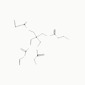 O=C(CS)OCC(COC(=O)CS)(COC(=O)CCS)COC(=O)CCS